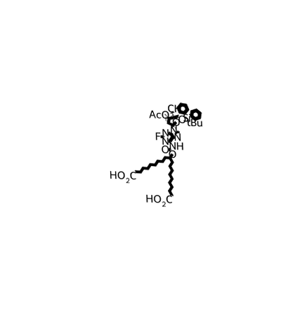 C#C[C@]1(CO[Si](c2ccccc2)(c2ccccc2)C(C)(C)C)O[C@@H](n2cnc3c(NC(=O)OC(CCCCCCCCCC(=O)O)CCCCCCCCCC(=O)O)nc(F)nc32)C[C@@H]1OC(C)=O